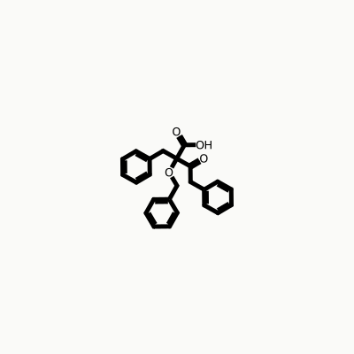 O=C(O)C(Cc1ccccc1)(OCc1ccccc1)C(=O)Cc1ccccc1